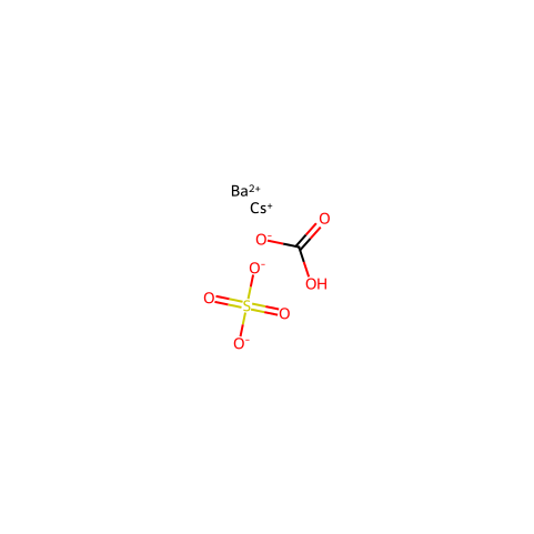 O=C([O-])O.O=S(=O)([O-])[O-].[Ba+2].[Cs+]